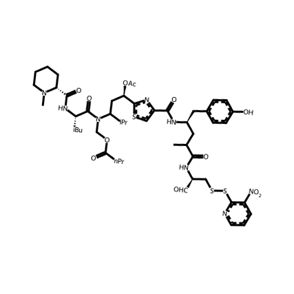 CCCC(=O)OCN(C(=O)[C@@H](NC(=O)[C@H]1CCCCN1C)C(C)CC)C(C[C@@H](OC(C)=O)c1nc(C(=O)N[C@@H](Cc2ccc(O)cc2)CC(C)C(=O)N[C@H](C=O)CSSc2ncccc2[N+](=O)[O-])cs1)C(C)C